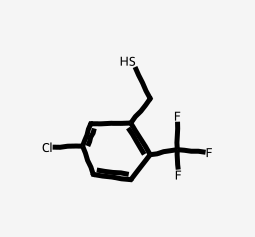 FC(F)(F)c1ccc(Cl)cc1CS